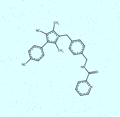 Cc1c(C#N)c(-c2ccc(C#N)cc2)c(C)n1Cc1ccc(CNC(=O)c2ccccn2)cc1